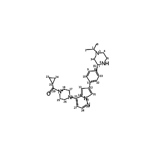 CC(C)N1CCN[C@@H](c2ccc(-c3cc4c(N5CCN(C(=O)C6CC6)CC5)ccnn4c3)cc2)C1